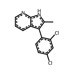 Cc1[nH]c2ncccc2c1-c1ccc(Cl)cc1Cl